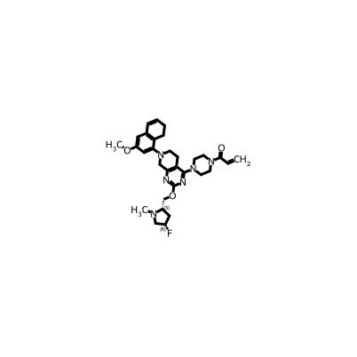 C=CC(=O)N1CCN(c2nc(OC[C@@H]3C[C@@H](F)CN3C)nc3c2CCN(c2cc(OC)cc4c2CCC=C4)C3)CC1